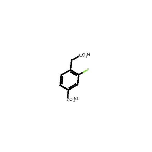 CCOC(=O)c1ccc(CC(=O)O)c(F)c1